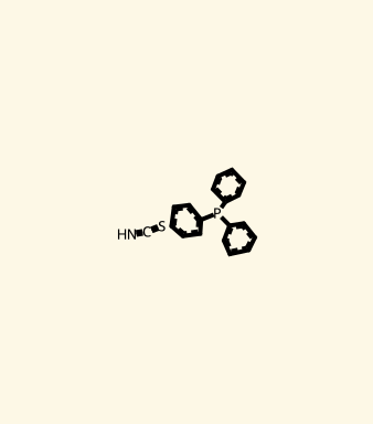 N=C=S.c1ccc(P(c2ccccc2)c2ccccc2)cc1